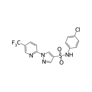 O=S(=O)(Nc1ccc(Cl)cc1)c1cnn(-c2ccc(C(F)(F)F)cn2)c1